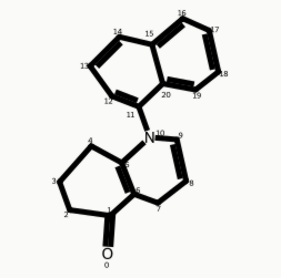 O=C1CCCC2=C1CC=CN2c1cccc2ccccc12